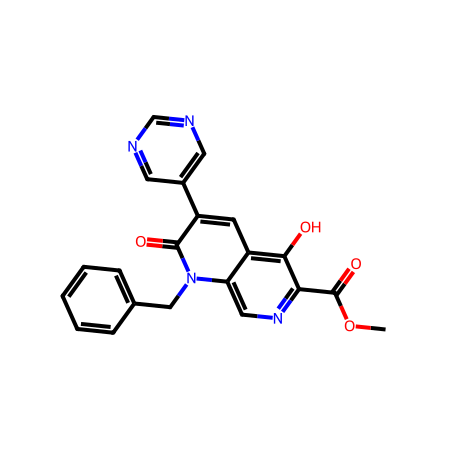 COC(=O)c1ncc2c(cc(-c3cncnc3)c(=O)n2Cc2ccccc2)c1O